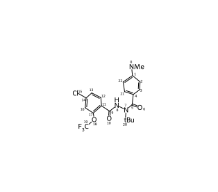 CNc1ccc(C(=O)N(NC(=O)c2ccc(Cl)cc2OC(F)(F)F)C(C)(C)C)cc1